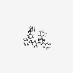 OBOc1ccc2c(c1)c1ccccc1n2-c1cccc(-c2nc(-c3ccccc3)nc(-c3ccccc3)n2)c1